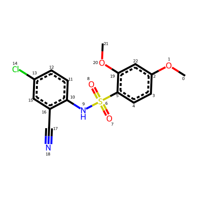 COc1ccc(S(=O)(=O)Nc2ccc(Cl)cc2C#N)c(OC)c1